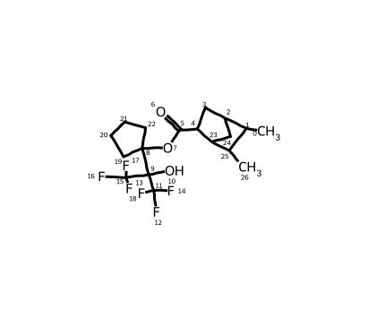 CC1C2CC(C(=O)OC3(C(O)(C(F)(F)F)C(F)(F)F)CCCC3)C(C2)C1C